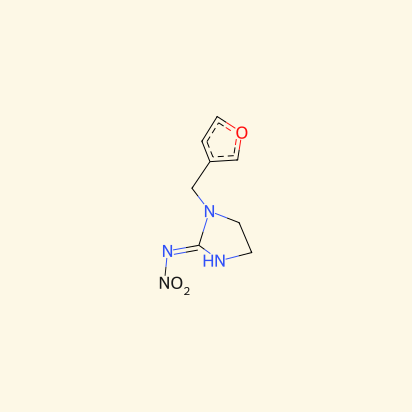 O=[N+]([O-])/N=C1\NCCN1Cc1ccoc1